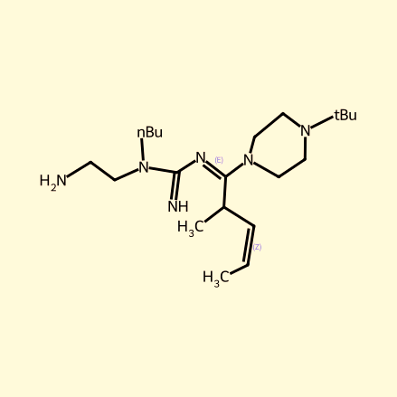 C/C=C\C(C)/C(=N\C(=N)N(CCN)CCCC)N1CCN(C(C)(C)C)CC1